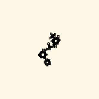 O=C(NNc1cccc(-n2cnnn2)c1)Nc1ccc(Cl)c(C(F)(F)F)c1